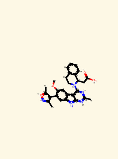 COc1cc2c(cc1-c1c(C)noc1C)[nH]c1nc(C)nc(N3CCc4ccccc4C3CC(=O)O)c12